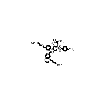 COCCCN1CCOc2ccc(CO[C@H]3CN(S(=O)(=O)c4ccc(C)cc4)[C@H](CC(C)(C)C(=O)O)C[C@@H]3c3ccc(COCCOC)cc3)cc21